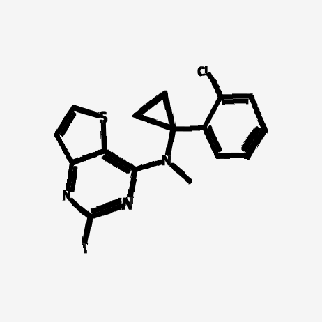 CN(c1nc(I)nc2ccsc12)C1(c2ccccc2Cl)CC1